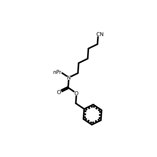 CCCN(CCCCCC#N)C(=O)OCc1ccccc1